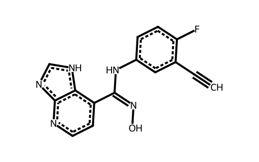 C#Cc1cc(N/C(=N/O)c2ccnc3nc[nH]c23)ccc1F